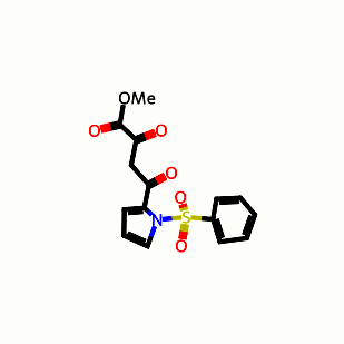 COC(=O)C(=O)CC(=O)c1cccn1S(=O)(=O)c1ccccc1